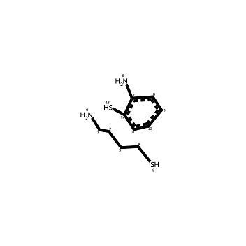 NCCCCS.Nc1ccccc1S